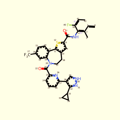 C=C/C(C)=C(NC(=O)c1cc2c(s1)-c1ccc(C(F)(F)F)cc1N(C(=O)c1cccc(-c3c[nH]nc3C3CC3)n1)CC2)\C(F)=C/C